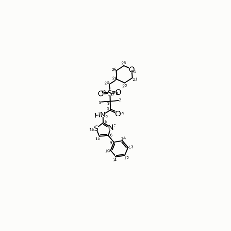 CC(C)(C(=O)Nc1nc(-c2ccccc2)cs1)S(=O)(=O)CC1CCOCC1